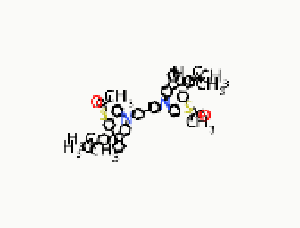 CCC1(CSc2ccc(C3(c4ccc(C(C)(C)C)cc4)c4ccccc4-c4ccc(N(c5ccccc5)c5ccc(-c6ccc(N(c7ccccc7)c7ccc8c(c7)[C@](c7ccc(SCC9(CC)COC9)cc7)(c7ccc(C(C)(C)C)cc7)c7ccccc7-8)cc6)cc5)cc43)cc2)COC1